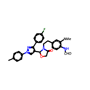 CNc1cc(CCN2C(=O)COC2c2cn(-c3ccc(C)cc3)nc2-c2ccc(F)cc2)ccc1NC=O